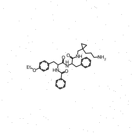 CCOc1ccc(CC(NC(=O)c2ccccc2)C(=O)NC(Cc2ccccc2)C(=O)NCC2(CCCN)CC2)cc1